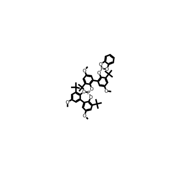 COc1cc(-c2cc(OC)cc(C(C)(C)C)c2Op2oc3c(C(C)(C)C)cc(OC)cc3c3cc(OC)cc(C(C)(C)C)c3o2)c(OP2Oc3ccccc3O2)c(C(C)(C)C)c1